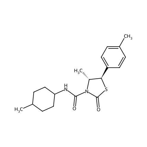 Cc1ccc([C@H]2SC(=O)N(C(=O)NC3CCC(C)CC3)[C@@H]2C)cc1